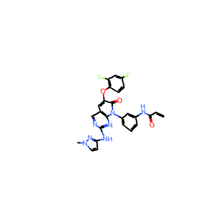 C=CC(=O)Nc1cccc(-n2c(=O)c(Oc3ccc(F)cc3F)cc3cnc(Nc4ccn(C)n4)nc32)c1